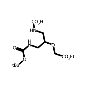 CCOC(=O)COC(CNC(=O)O)CNC(=O)OC(C)(C)C